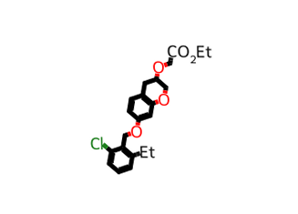 CCOC(=O)COC1COc2cc(OCc3c(Cl)cccc3CC)ccc2C1